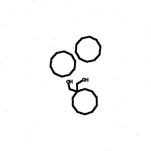 C1CCCCCCCCC1.C1CCCCCCCCC1.OCC1(CO)CCCCCCCCC1